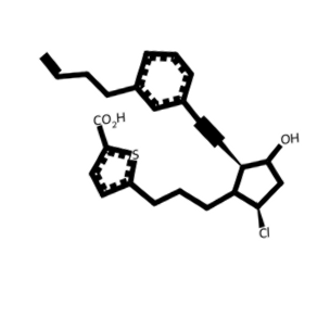 C=CCCc1cccc(C#C[C@H]2C(O)C[C@@H](Cl)C2CCCc2ccc(C(=O)O)s2)c1